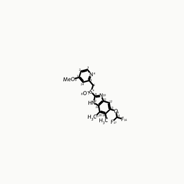 COc1ccnc(C[S+]([O-])c2nc3cc(OC(F)F)c(C)c(C)c3[nH]2)c1